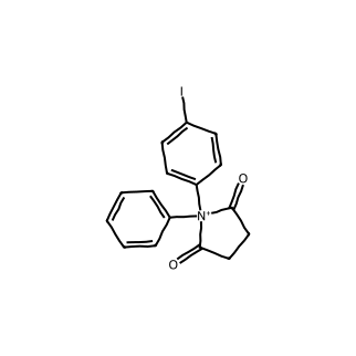 O=C1CCC(=O)[N+]1(c1ccccc1)c1ccc(I)cc1